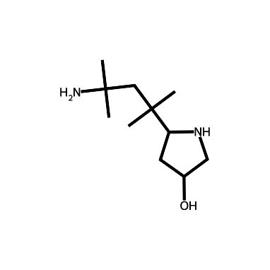 CC(C)(N)CC(C)(C)C1CC(O)CN1